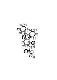 CCOC(=O)c1coc2cc(N=C(c3ccccc3)c3ccccc3)ccc12